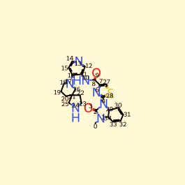 CN1C(=O)N(c2nc(C(=O)Nc3cnccc3N3CCCC4(CCNC4)C3)cs2)C2C=CC=CC21